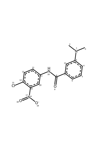 CN(C)c1cccc(C(=O)Nc2ccc(Cl)c([N+](=O)[O-])c2)c1